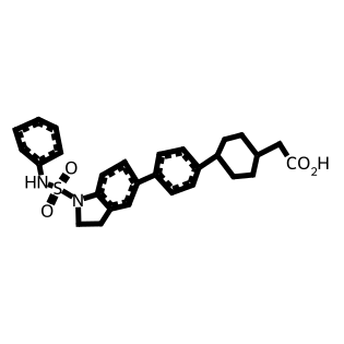 O=C(O)CC1CCC(c2ccc(-c3ccc4c(c3)CCN4S(=O)(=O)Nc3ccccc3)cc2)CC1